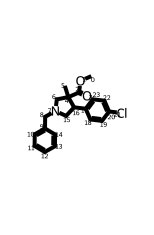 COC(=O)C1(C)CN(Cc2ccccc2)CC1c1ccc(Cl)cc1